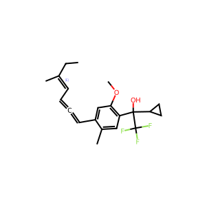 CC/C(C)=C/C=C=Cc1cc(OC)c(C(O)(C2CC2)C(F)(F)F)cc1C